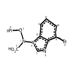 CCCON(C(=O)O)n1cnc2c(CC)cccc21